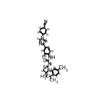 Cc1ccc(C(C)C)c(N2C(=O)CSC2=NC(=O)Nc2ccc(-c3ncn(-c4ccc(C#N)cc4)n3)cc2F)c1